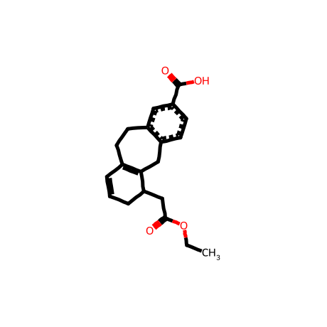 CCOC(=O)CC1CC=CC2=C1Cc1ccc(C(=O)O)cc1CC2